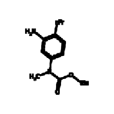 CCCc1ccc(N(C)C(=O)OC(C)(C)C)cc1N